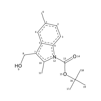 Cc1ccc2c(c1)c(CO)c(C)n2C(=O)OC(C)(C)C